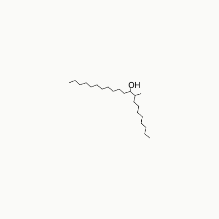 CCCCCCCCCCCC(O)C(C)CCCCCCCC